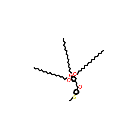 CCCCCCCCCCCCCCCCCOc1cc(C=CC(=O)c2ccc(SCCC)cc2)cc(OCCCCCCCCCCCCCCCCC)c1OCCCCCCCCCCCCCCCCC